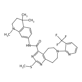 CSc1nc2c(c(C(=O)Nc3ccc4c(c3)N(C)CCC4(C)C)n1)CCN(c1ncccc1C(F)(F)F)CC2